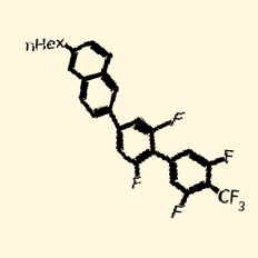 CCCCCCc1ccc2cc(-c3cc(F)c(-c4cc(F)c(C(F)(F)F)c(F)c4)c(F)c3)ccc2c1